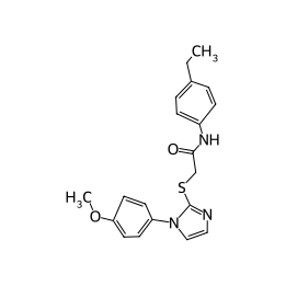 CCc1ccc(NC(=O)CSc2nccn2-c2ccc(OC)cc2)cc1